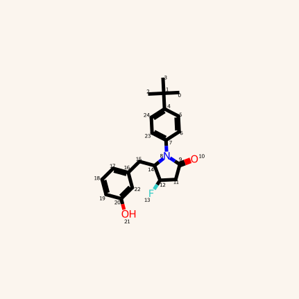 CC(C)(C)c1ccc(N2C(=O)CC(F)C2Cc2cccc(O)c2)cc1